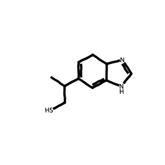 CC(CS)C1=CCC2N=CNC2=C1